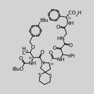 CCCC(NC(=O)[C@@H]1CC2(CN1C(=O)[C@@H](NC(=O)OCC(C)C)C(C)OCc1ccc(C(C)(C)C)cc1)SCCCS2)C(=O)C(=O)NCC(=O)N[C@H](C(=O)O)c1ccccc1